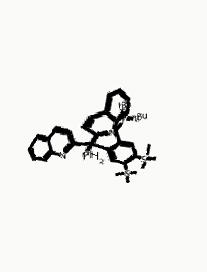 CC(C)(C)P(Cc1cc([Si](C)(C)C)c([Si](C)(C)C)cc1C(P)(c1ccc2ccccc2n1)c1ccc2ccccc2n1)C(C)(C)C